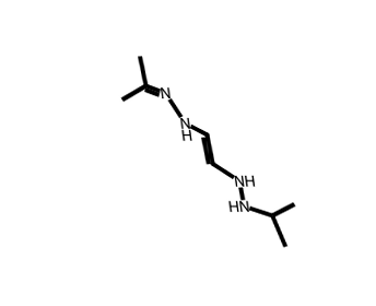 CC(C)=NNC=CNNC(C)C